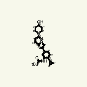 CC(C)(C)C(=O)Nc1cc(-c2cn3nc(N4CCC(O)CC4)ccc3n2)ccc1C1CC1